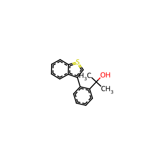 CC(C)(O)c1ccccc1-c1csc2ccccc12